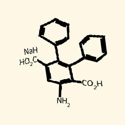 Nc1cc(C(=O)O)c(-c2ccccc2)c(-c2ccccc2)c1C(=O)O.[NaH]